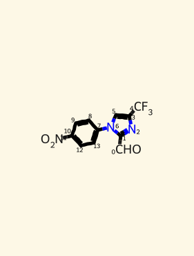 O=Cc1nc(C(F)(F)F)cn1-c1ccc([N+](=O)[O-])cc1